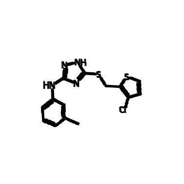 Cc1cccc(Nc2n[nH]c(SCc3sccc3Cl)n2)c1